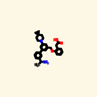 CC(N)c1cccc(-c2cc(COc3ccccc3CC(=O)O)cc(N3CCC4(CC3)CC4)c2)c1